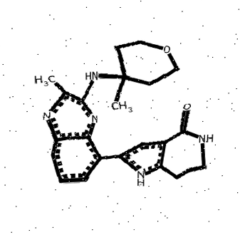 Cc1nc2cccc(-c3cc4c([nH]3)CCNC4=O)c2nc1NC1(C)CCOCC1